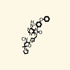 CC(C)(/C=C(/C#N)C(=O)N1CC(Cn2c(=O)n(-c3ccc(Oc4ccccc4)cc3)c3c(N)ncnc32)C1)N1CCCC1